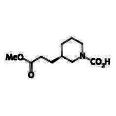 COC(=O)CC[C@H]1CCCN(C(=O)O)C1